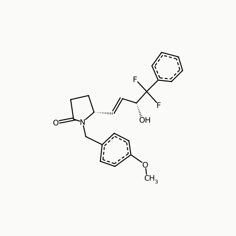 COc1ccc(CN2C(=O)CC[C@@H]2/C=C/[C@@H](O)C(F)(F)c2ccccc2)cc1